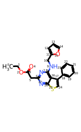 CCOC(=O)Cc1nc(NCc2ccco2)c2c(-c3ccccc3)csc2n1